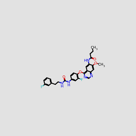 CCCC(=O)Nc1cc2c(Oc3ccc(NC(=O)NCCc4cccc(F)c4)cc3F)ncnc2cc1OC